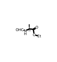 CCOC(=O)[C@H](C)NC=O